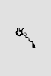 C#CCCCCOc1cccnc1C